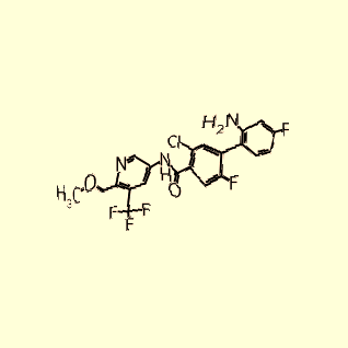 COCc1ncc(NC(=O)c2cc(F)c(-c3ccc(F)cc3N)cc2Cl)cc1C(F)(F)F